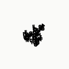 CC(C)(C#Cc1nc([C@H](Cc2cc(F)cc(F)c2)NC(=O)Cn2nc(C(F)F)c3c2C(F)(F)[C@@H]2CC[C@H]32)c(-c2ccc(Cl)c3c(NS(C)(=O)=O)nn(CC(F)(F)F)c23)cc1I)S(=O)(=O)C1CC1